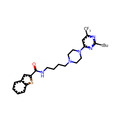 CC(C)(C)c1nc(N2CCN(CCCCNC(=O)c3cc4ccccc4s3)CC2)cc(C(F)(F)F)n1